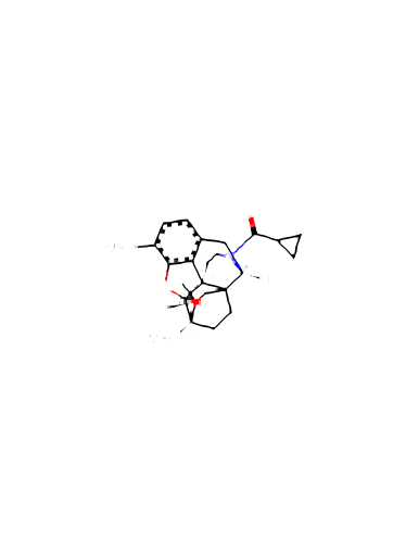 COc1ccc2c3c1O[C@H]1[C@@]4(OC)CCC5(C[C@H]4C)[C@@H](C2)N(C(=O)C2CC2)CC[C@]315